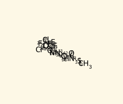 CSCCNC(=O)c1ccc2c(c1)CN(C1=NOC(c3cc(Cl)c(F)c(Cl)c3)(C(F)(F)F)C1)C2